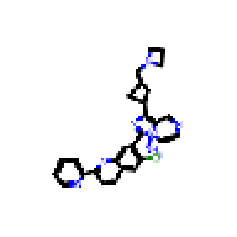 N[N+]12C=CN=CC1=C(C1CC(CN3CCC3)C1)N=C2c1cc2nc(-c3ccccn3)ccc2cc1Cl